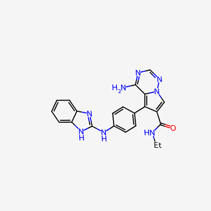 CCNC(=O)c1cn2ncnc(N)c2c1-c1ccc(Nc2nc3ccccc3[nH]2)cc1